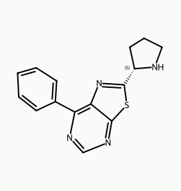 c1ccc(-c2ncnc3sc([C@@H]4CCCN4)nc23)cc1